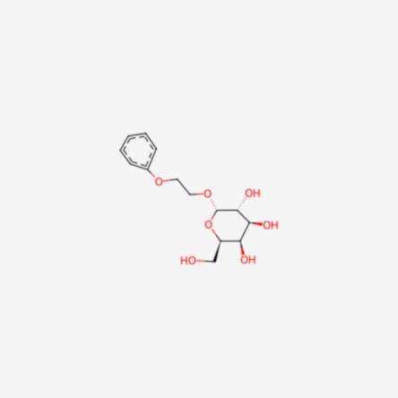 OC[C@H]1O[C@H](OCCOc2ccccc2)[C@H](O)[C@@H](O)[C@H]1O